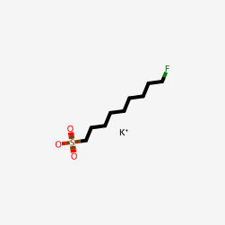 O=S(=O)([O-])CCCCCCCCCF.[K+]